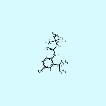 CN(C)c1nc(Cl)ncc1NC(=O)OC(C)(C)C